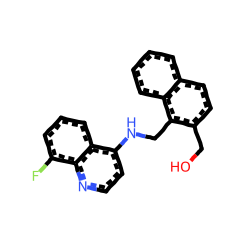 OCc1ccc2ccccc2c1CNc1ccnc2c(F)cccc12